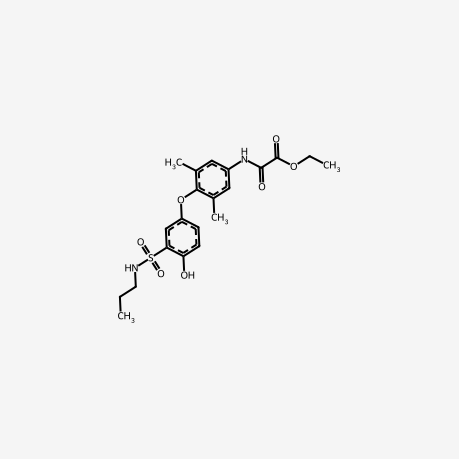 CCCNS(=O)(=O)c1cc(Oc2c(C)cc(NC(=O)C(=O)OCC)cc2C)ccc1O